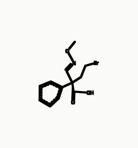 CON=CC(CCBr)(C(=O)O)c1ccccc1